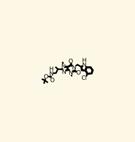 CC(CNC(=O)OC(C)(C)C)c1nc2c(c(=O)n(Cc3cc4c(Cl)cccc4[nH]3)c(=O)n2C)n1C